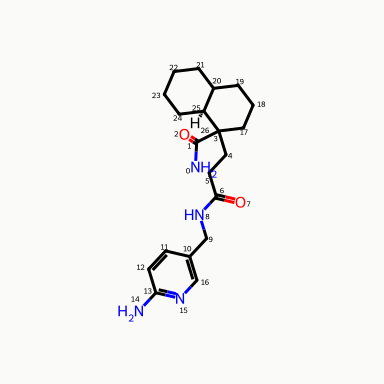 NC(=O)C1(C[CH]C(=O)NCc2ccc(N)nc2)CCCC2CCCC[C@@H]21